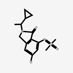 CC(C1CC1)N1Cc2cc(Cl)cc(N=S(C)(C)=O)c2C1=O